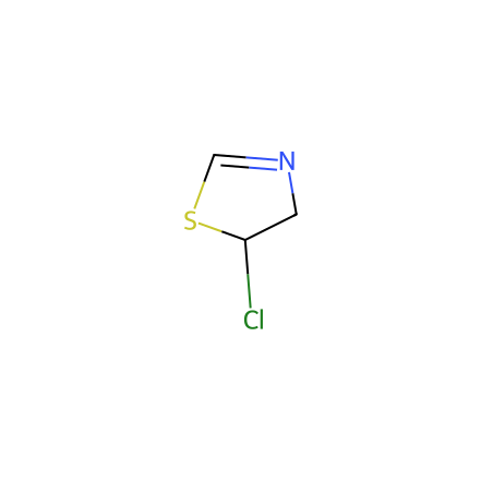 ClC1CN=CS1